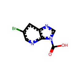 O=C(O)n1cnc2cc(Br)cnc21